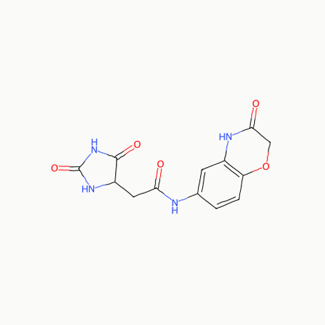 O=C(CC1NC(=O)NC1=O)Nc1ccc2c(c1)NC(=O)CO2